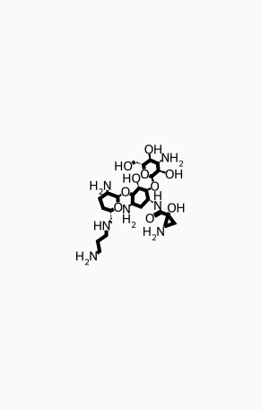 NCCCNC[C@@H]1CC[C@@H](N)[C@@H](OC2[C@@H](N)C[C@@H](NC(=O)C3(O)CC3N)[C@H](O[C@H]3O[C@H](CO)[C@@H](O)[C@H](N)[C@H]3O)[C@H]2O)O1